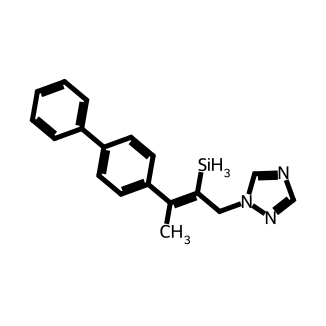 CC(=C([SiH3])Cn1cncn1)c1ccc(-c2ccccc2)cc1